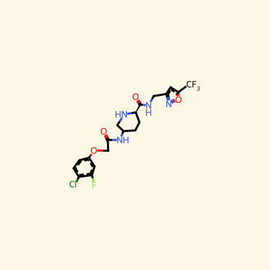 O=C(COc1ccc(Cl)c(F)c1)NC1CC[C@H](C(=O)NCc2cc(C(F)(F)F)on2)NC1